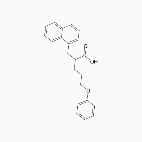 O=C(O)C(CCCOc1ccccc1)Cc1cccc2ccccc12